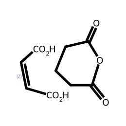 O=C(O)/C=C\C(=O)O.O=C1CCCC(=O)O1